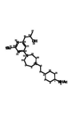 CC(=O)NC1CCC(CCN2CCCN(c3cc(CC(C)O)nc(C(C)(C)C)n3)CC2)CC1